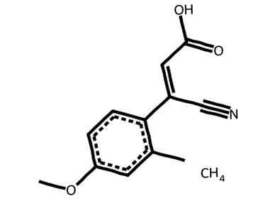 C.COc1ccc(C(C#N)=CC(=O)O)c(C)c1